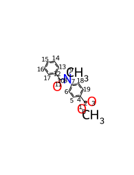 COC(=O)c1ccc(N(C)C(=O)c2ccccc2)cc1